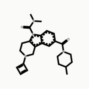 CC1CCN(C(=O)c2ccc3c(c2)c2c(n3C(=O)N(C)C)CCN(C3=CC=C3)C2)CC1